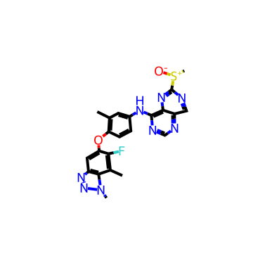 Cc1cc(Nc2ncnc3cnc([S+](C)[O-])nc23)ccc1Oc1cc2nnn(C)c2c(C)c1F